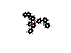 c1ccc(-c2ccc(N(c3ccc(-c4cccc5c4sc4ccccc45)cc3)c3ccc4c(oc5c6ccccc6ccc45)c3-c3ccccc3)cc2)cc1